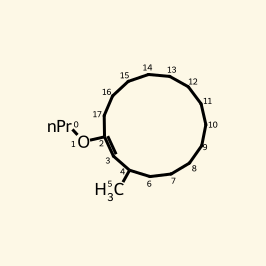 CCCOC1=CC(C)CCCCCCCCCCCC1